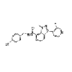 CCc1ccc(CNC(=O)c2cccc3c(-c4ccncc4F)nn(C)c23)cc1